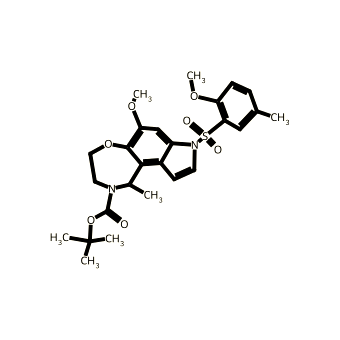 COc1ccc(C)cc1S(=O)(=O)n1ccc2c3c(c(OC)cc21)OCCN(C(=O)OC(C)(C)C)C3C